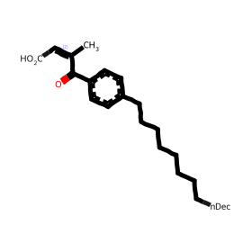 CCCCCCCCCCCCCCCCCCc1ccc(C(=O)/C(C)=C\C(=O)O)cc1